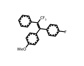 COc1ccc(/C(=C(\c2ccccc2)C(F)(F)F)c2ccc(F)cc2)cc1